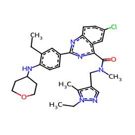 CCc1cc(-c2nc(C(=O)N(C)Cc3cnn(CC)c3C)c3cc(Cl)ccc3n2)ccc1NC1CCOCC1